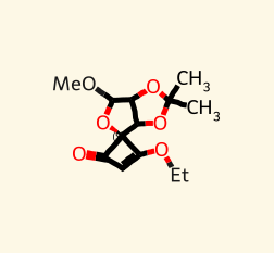 CCOC1=CC(=O)[C@@]12OC(OC)C1OC(C)(C)OC12